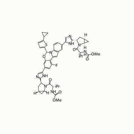 COC(=O)N[C@H](C(=O)N1[C@@H]2C[C@@H]2C[C@H]1c1ncc(-c2cc(F)c3c(c2)OC(c2ccc(C4CC4)s2)n2c-3cc3cc(-c4cnc([C@@H]5C[C@H]6C[C@H]6N5C(=O)[C@@H](NC(=O)OC)C(C)C)[nH]4)ccc32)[nH]1)C(C)C